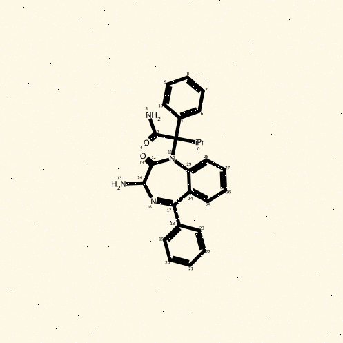 CC(C)C(C(N)=O)(c1ccccc1)N1C(=O)C(N)N=C(c2ccccc2)c2ccccc21